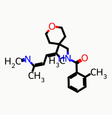 C=N/C(C)=C\C=C(/C)C1(CNC(=O)c2ccccc2C)CCOCC1